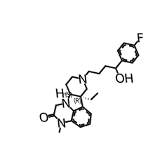 CC[C@@]12CN(CCCC(O)c3ccc(F)cc3)CC[C@@H]1N1CC(=O)N(C)c3cccc2c31